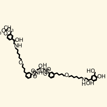 CC1(C)OCc2cc([C@H](O)CNCCCCCCOCCCCc3cccc(S(=O)(=O)NCC(=O)ONS(=O)(=O)c4cccc(CCCCOCCCCCCNC[C@@H](O)c5ccc(O)c(CO)c5)c4)c3)ccc2O1